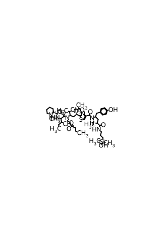 CCCC(=O)OCN(C(=O)C(NC(=O)[C@@H]1CCCCN1C)C(C)CC)C(CC(OC(C)=O)c1nc(C(=O)NC(Cc2ccc(O)cc2)CC(C)C(=O)NCCC[Si](C)(C)O)cs1)C(C)C